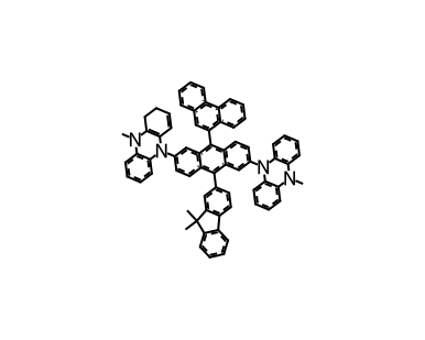 CN1C2=C(C=CCC2)N(c2ccc3c(-c4ccc5c(c4)C(C)(C)c4ccccc4-5)c4cc(N5c6ccccc6N(C)c6ccccc65)ccc4c(-c4cc5ccccc5c5ccccc45)c3c2)c2ccccc21